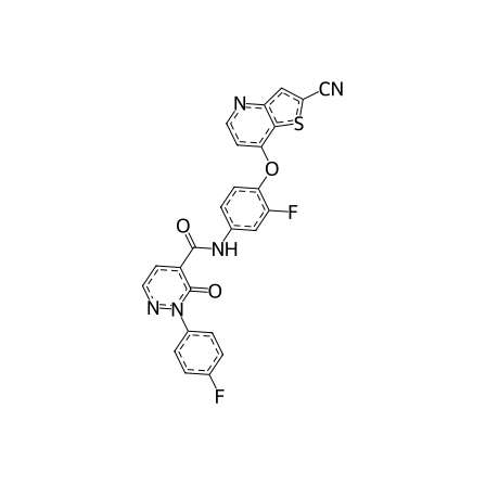 N#Cc1cc2nccc(Oc3ccc(NC(=O)c4ccnn(-c5ccc(F)cc5)c4=O)cc3F)c2s1